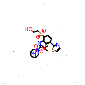 CC(C)(C)OC(=O)N1C2CC1CN(c1nc3c(S(=O)(=O)CCO)ccc(-c4nccs4)c3o1)C2